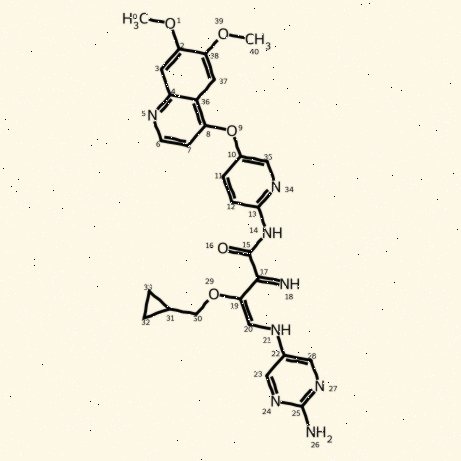 COc1cc2nccc(Oc3ccc(NC(=O)C(=N)/C(=C\Nc4cnc(N)nc4)OCC4CC4)nc3)c2cc1OC